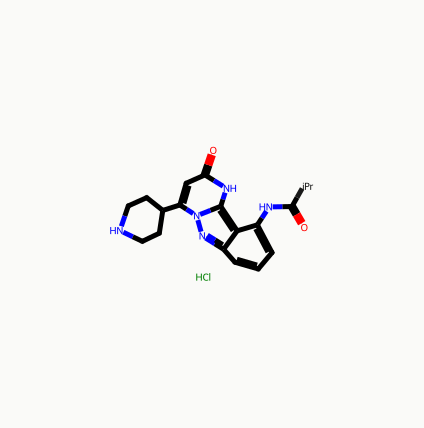 CC(C)C(=O)Nc1cccc2nn3c(C4CCNCC4)cc(=O)[nH]c3c12.Cl